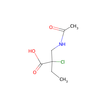 CCC(Cl)(CNC(C)=O)C(=O)O